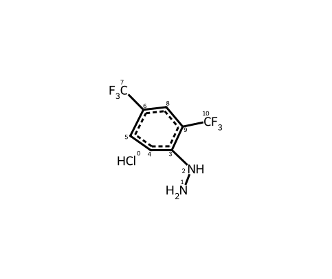 Cl.NNc1ccc(C(F)(F)F)cc1C(F)(F)F